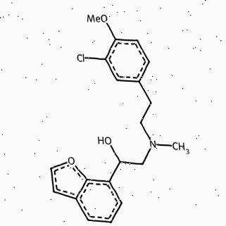 COc1ccc(CCN(C)CC(O)c2cccc3ccoc23)cc1Cl